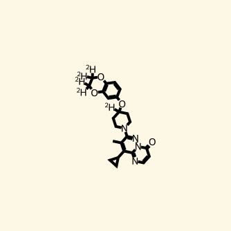 [2H]C1(Oc2ccc3c(c2)OC([2H])([2H])C([2H])([2H])O3)CCN(c2nn3c(=O)ccnc3c(C3CC3)c2C)CC1